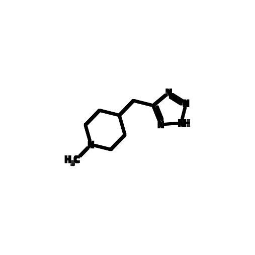 CN1CCC(Cc2nn[nH]n2)CC1